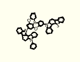 c1ccc(-n2c3ccccc3c3c2ccc2c4ccccc4n(-c4cc5c6c(c4)Oc4cc(-n7c8ccccc8c8c9sc%10ccccc%10c9ccc87)ccc4B6c4ccccc4O5)c23)cc1